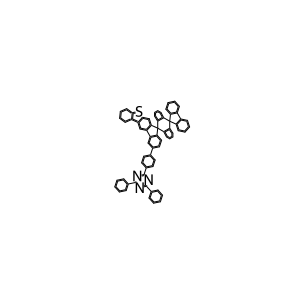 c1ccc(-c2nc(-c3ccccc3)nc(-c3ccc(-c4ccc5c(c4)-c4cc6c(cc4C54c5ccccc5C5(c7ccccc7-c7ccccc75)c5ccccc54)sc4ccccc46)cc3)n2)cc1